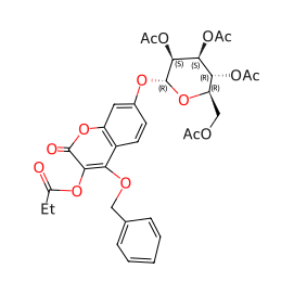 CCC(=O)Oc1c(OCc2ccccc2)c2ccc(O[C@H]3O[C@H](COC(C)=O)[C@@H](OC(C)=O)[C@H](OC(C)=O)[C@@H]3OC(C)=O)cc2oc1=O